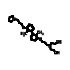 Cc1c(OCCCN(CCO)CCO)cccc1-c1cccc(OCCCN2CCCC2)c1C